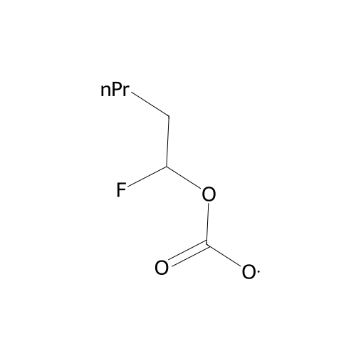 CCCCC(F)OC([O])=O